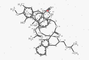 COc1c(C)cc2c(c1O)[C@H]1[C@@H]3[C@@H]4SC[C@]5(N[C@@H](COC(C)C)Cc6c5[nH]c5ccccc65)C(=O)OC[C@@H](c5c6c(c(C)c(OC(C)=O)c54)OCO6)N3C(C#N)(C2)CN1C